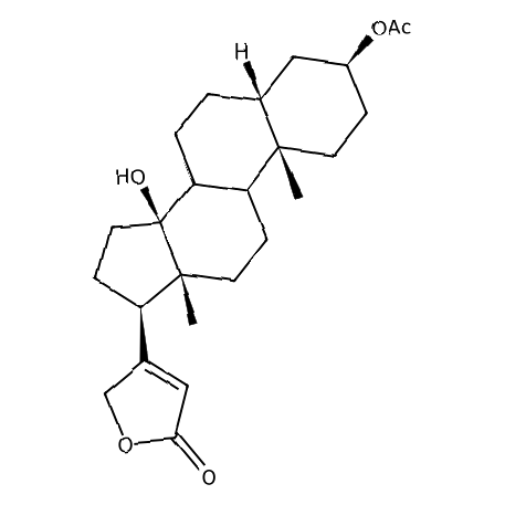 CC(=O)O[C@H]1CC[C@]2(C)C3CC[C@]4(C)[C@@H](C5=CC(=O)OC5)CC[C@]4(O)C3CC[C@@H]2C1